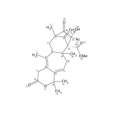 C=C1C2(C)CC3C(C)=C4CC(=O)OC(C)(C)C4=CCC3(C)[C@]1(C(=O)OC)C(O)(C(C)=O)C2=O